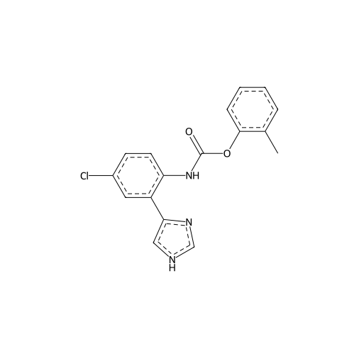 Cc1ccccc1OC(=O)Nc1ccc(Cl)cc1-c1c[nH]cn1